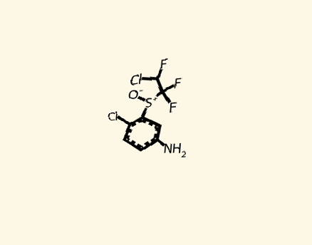 Nc1ccc(Cl)c([S+]([O-])C(F)(F)C(F)Cl)c1